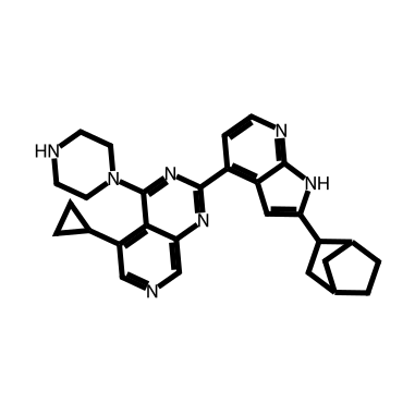 c1cc(-c2nc(N3CCNCC3)c3c(C4CC4)cncc3n2)c2cc(C3CC4CCC3C4)[nH]c2n1